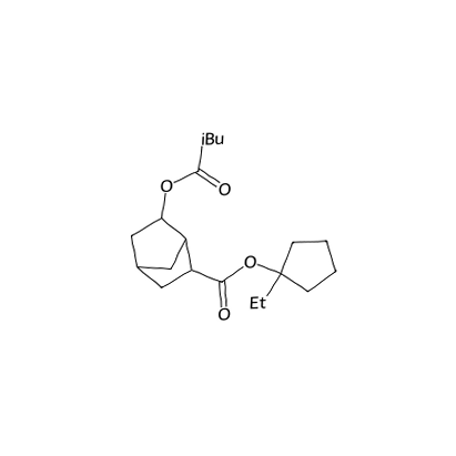 CCC(C)C(=O)OC1CC2CC(C(=O)OC3(CC)CCCC3)C1C2